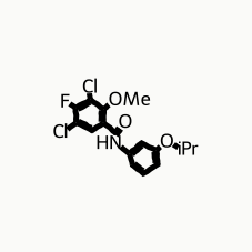 COc1c(C(=O)Nc2cccc(OC(C)C)c2)cc(Cl)c(F)c1Cl